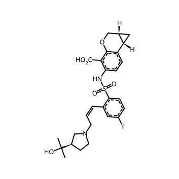 CC(C)(O)[C@@H]1CCN(C/C=C\c2cc(F)ccc2S(=O)(=O)Nc2ccc3c(c2C(=O)O)OC[C@@H]2C[C@H]32)C1